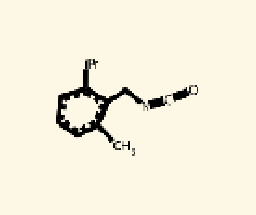 Cc1cccc(C(C)C)c1CN=C=O